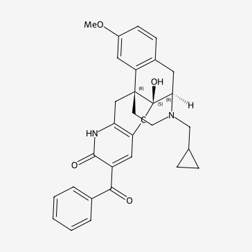 COc1ccc2c(c1)[C@]13CCN(CC4CC4)[C@H](C2)[C@]1(O)Cc1cc(C(=O)c2ccccc2)c(=O)[nH]c1C3